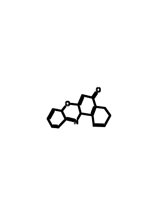 O=C1C=C2OC3C=CC=CC3=NC2C2=C1CCC=C2